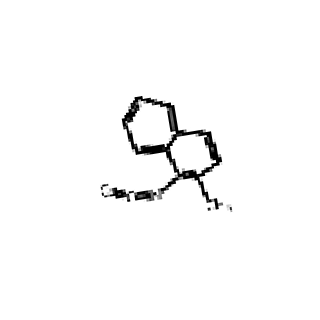 Cc1ccc2ccccc2c1N=C=O